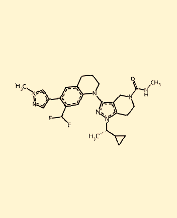 CNC(=O)N1CCc2c(c(N3CCCc4cc(-c5cnn(C)c5)c(C(F)F)cc43)nn2[C@@H](C)C2CC2)C1